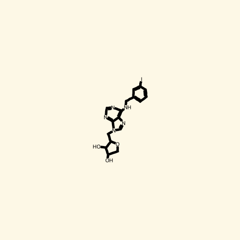 OC1COC(Cn2cnc3c(NCc4cccc(I)c4)ncnc32)C1O